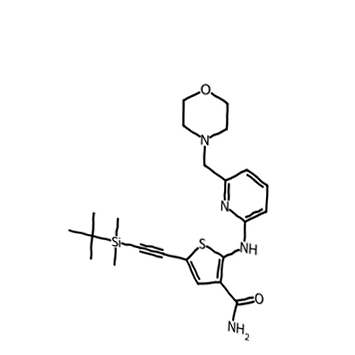 CC(C)(C)[Si](C)(C)C#Cc1cc(C(N)=O)c(Nc2cccc(CN3CCOCC3)n2)s1